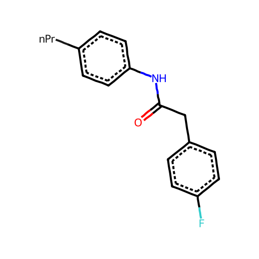 CCCc1ccc(NC(=O)Cc2ccc(F)cc2)cc1